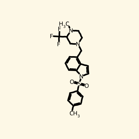 Cc1ccc(S(=O)(=O)n2ccc3c(CN4CCN(C)C(C(F)(F)F)C4)cccc32)cc1